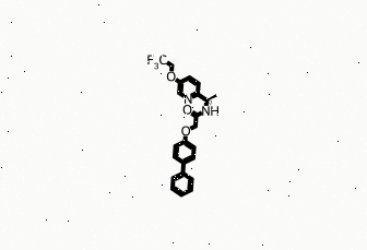 C[C@@H](NC(=O)COc1ccc(-c2ccccc2)cc1)c1ccc(OCC(F)(F)F)cn1